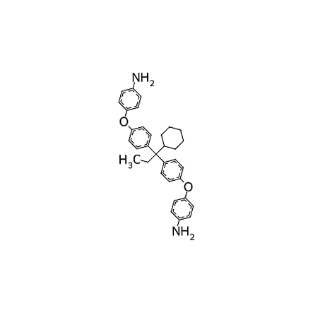 CCC(c1ccc(Oc2ccc(N)cc2)cc1)(c1ccc(Oc2ccc(N)cc2)cc1)C1CCCCC1